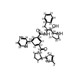 Cc1csc([C@H]2CCCN2C(=O)c2cc(C(=O)N[C@@H](Cc3ccccc3)[C@H](O)[C@H]3CCCN3)cc(-c3cnccn3)c2)n1